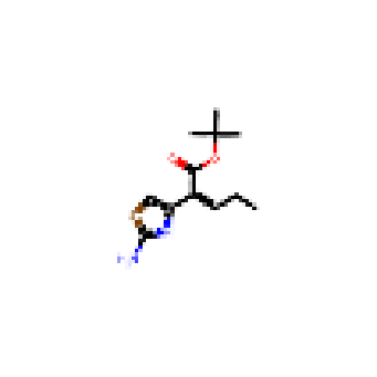 CCC=C(C(=O)OC(C)(C)C)c1csc(N)n1